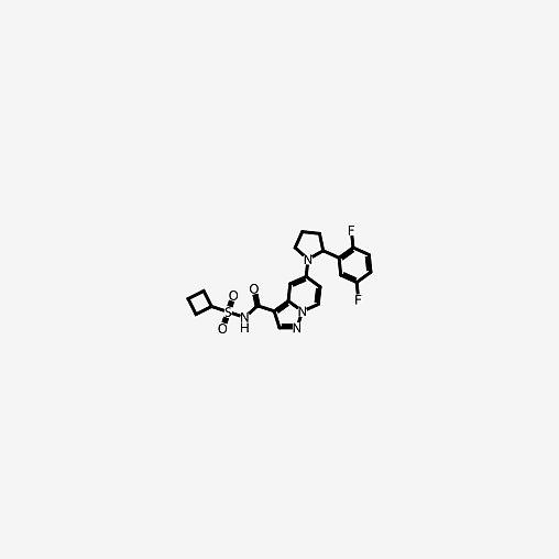 O=C(NS(=O)(=O)C1CCC1)c1cnn2ccc(N3CCCC3c3cc(F)ccc3F)cc12